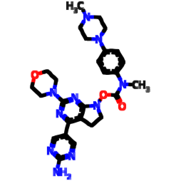 CN1CCN(c2ccc(N(C)C(=O)ON3CCc4c(-c5cnc(N)nc5)nc(N5CCOCC5)nc43)cc2)CC1